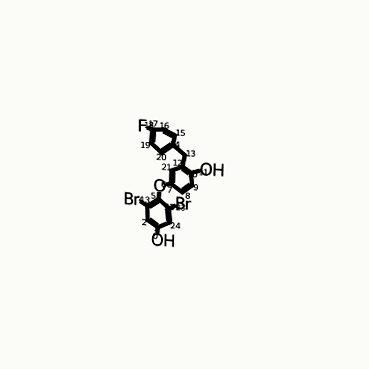 Oc1cc(Br)c(Oc2ccc(O)c(Cc3ccc(F)cc3)c2)c(Br)c1